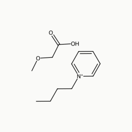 CCCC[n+]1ccccc1.COCC(=O)O